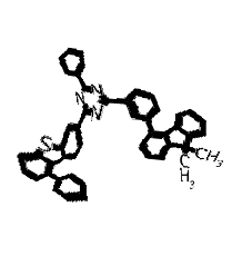 CC1(C)c2ccccc2-c2c(-c3cccc(-c4nc(-c5ccccc5)nc(-c5ccc6c(c5)sc5cccc(-c7ccccc7)c56)n4)c3)cccc21